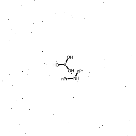 CCCNCCC.OB(O)O